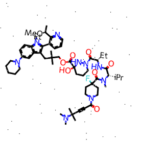 CC[C@H](NC(=O)[C@H](C(C)C)N(C)C(=O)C1(F)CCN(C(=O)C#CC(C)(C)N(C)C)CC1)C(=O)N1CCCC(O)(C(=O)OCC(C)(C)Cc2c(-c3cccnc3[C@H](C)OC)n(CC)c3ccc(N4CCCCC4)cc23)N1